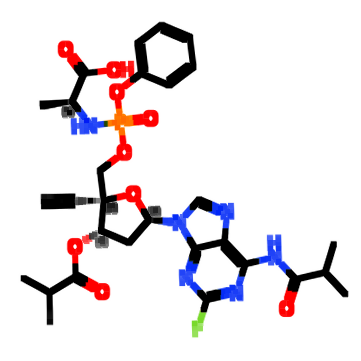 C#C[C@]1(COP(=O)(N[C@@H](C)C(=O)O)Oc2ccccc2)O[C@@H](n2cnc3c(NC(=O)C(C)C)nc(F)nc32)C[C@@H]1OC(=O)C(C)C